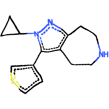 c1cc(-c2c3c(nn2C2CC2)CCNCC3)cs1